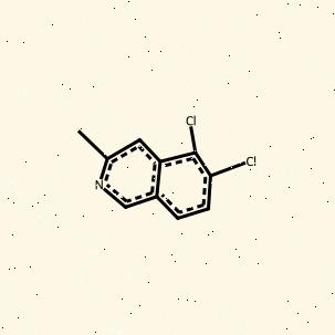 Cc1cc2c(Cl)c(Cl)ccc2cn1